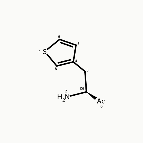 CC(=O)[C@@H](N)Cc1ccsc1